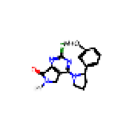 COc1cccc(C2CCCN2c2nc(Cl)nc3c2CN(C(C)C)C3=O)c1